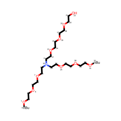 CCCCOCCOCCOCCN(CCOCCOCCOCCO)CCOCCOCCOCCCC